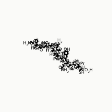 CC[C@H](C)[C@H](NC(=O)[C@H](CCC(N)=O)NC(=O)[C@H](Cc1ccc(O)cc1)NC(=O)[C@H](CC(C)C)NC(=O)[C@H](CO)NC(=O)[C@H](CCC(N)=O)NC(=O)[C@H](CO)NC(=O)[C@H](CO)NC(=O)CNC(=O)[C@H](CO)NC(=O)[C@@H]1CCCN1C(=O)CN)C(=O)N[C@@H](CS)C(=O)N[C@H](C(=O)N[C@@H](CS)C(=O)O)C(C)C